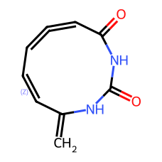 C=C1/C=C\C=C=CC(=O)NC(=O)N1